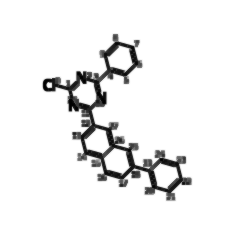 Clc1nc(-c2ccccc2)nc(-c2ccc3ccc(-c4ccccc4)cc3c2)n1